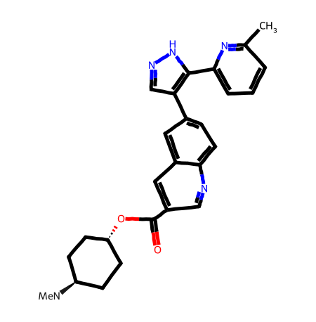 CN[C@H]1CC[C@H](OC(=O)c2cnc3ccc(-c4cn[nH]c4-c4cccc(C)n4)cc3c2)CC1